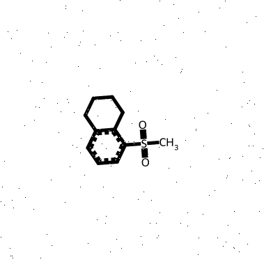 CS(=O)(=O)c1cccc2c1CCCC2